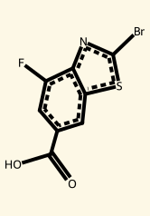 O=C(O)c1cc(F)c2nc(Br)sc2c1